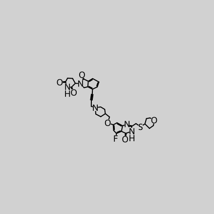 O=C1CCC(N2Cc3c(C#CCN4CCC(COc5cc(F)c6c(=O)[nH]c(CSC7CCOCC7)nc6c5)CC4)cccc3C2=O)C(=O)N1